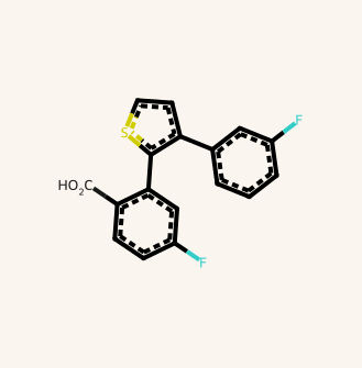 O=C(O)c1ccc(F)cc1-c1sccc1-c1cccc(F)c1